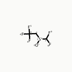 [O-][S+](CC(F)(F)F)C(F)F